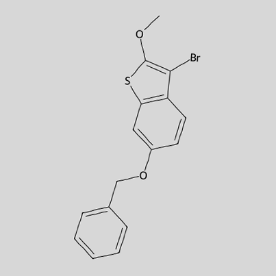 COc1sc2cc(OCc3ccccc3)ccc2c1Br